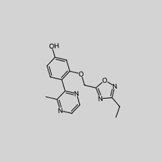 CCc1noc(COc2cc(O)ccc2-c2nccnc2C)n1